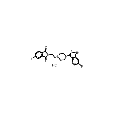 Cl.O=C1c2ccc(F)cc2C(=O)N1CCN1CCN(c2n[nH]c3cc(F)ccc23)CC1